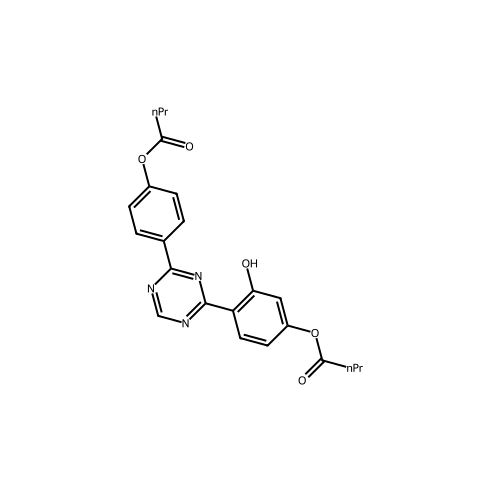 CCCC(=O)Oc1ccc(-c2ncnc(-c3ccc(OC(=O)CCC)cc3O)n2)cc1